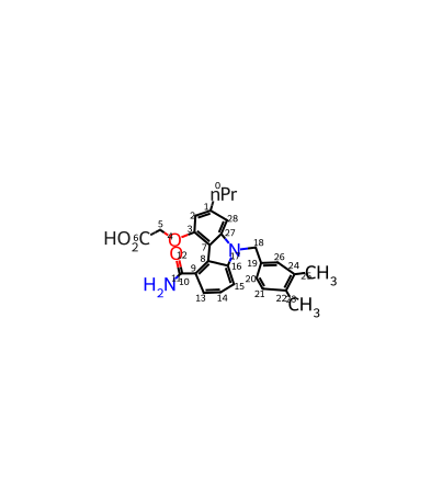 CCCc1cc(OCC(=O)O)c2c3c(C(N)=O)cccc3n(Cc3ccc(C)c(C)c3)c2c1